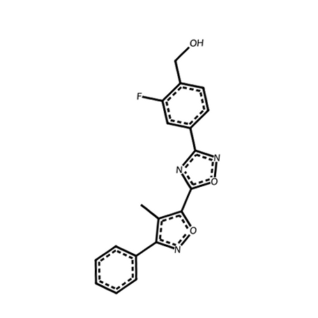 Cc1c(-c2ccccc2)noc1-c1nc(-c2ccc(CO)c(F)c2)no1